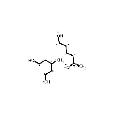 CC(CCO)CCO.CC(O)CCCCO